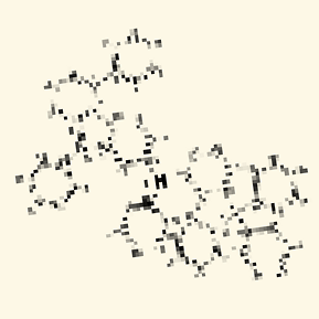 c1ccc(-c2cccc3c2c2ccc(N(c4ccccc4)c4cccc5c4-c4ccccc4C5(c4ccccc4)c4ccccc4)cc2n3-c2ccccc2)cc1